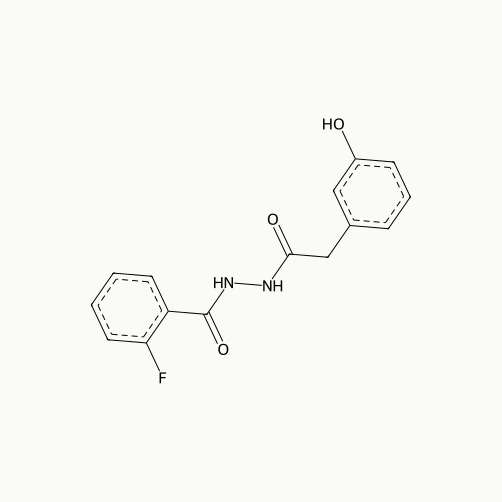 O=C(Cc1cccc(O)c1)NNC(=O)c1ccccc1F